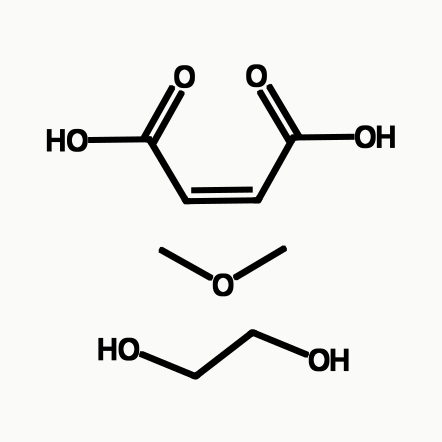 COC.O=C(O)/C=C\C(=O)O.OCCO